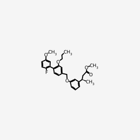 CCCOc1cc(COc2cccc([C@H](C)CC(=O)OC)c2)ccc1-c1cc(OC)ccc1F